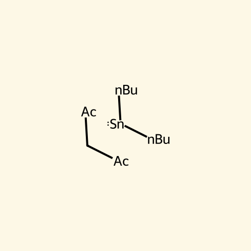 CC(=O)CC(C)=O.CCC[CH2][Sn][CH2]CCC